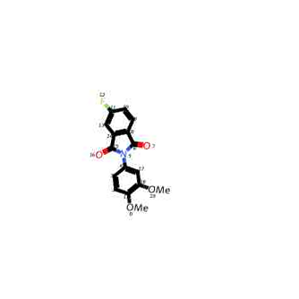 COc1ccc(N2C(=O)c3ccc(F)cc3C2=O)cc1OC